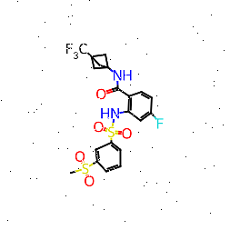 CS(=O)(=O)c1cccc(S(=O)(=O)Nc2cc(F)ccc2C(=O)NC23CC(C(F)(F)F)(C2)C3)c1